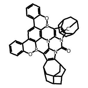 O=c1n2c3c(c4c2n2c5c(c6c(n15)C1CC5CC7CC6CC75C1)B1Oc5ccccc5-c5cc6c(c-2c51)B4Oc1ccccc1-6)C1CC2CC(C1)CC3C2